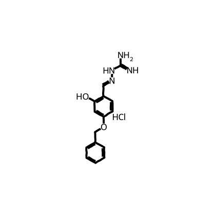 Cl.N=C(N)N/N=C/c1ccc(OCc2ccccc2)cc1O